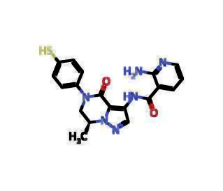 C[C@H]1CN(c2ccc(S)cc2)C(=O)c2c(NC(=O)c3cccnc3N)cnn21